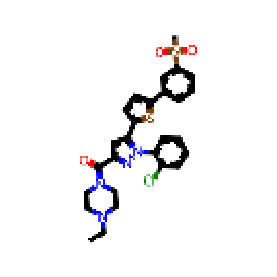 CCN1CCN(C(=O)c2cc(-c3ccc(-c4cccc(S(C)(=O)=O)c4)s3)n(-c3ccccc3Cl)n2)CC1